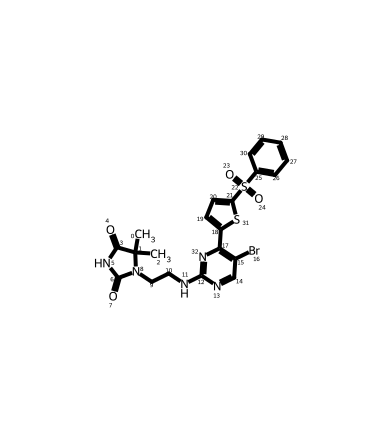 CC1(C)C(=O)NC(=O)N1CCNc1ncc(Br)c(-c2ccc(S(=O)(=O)c3ccccc3)s2)n1